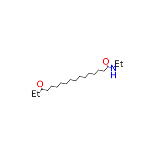 CCNC(=O)CCCCCCCCCCCCCC(=O)CC